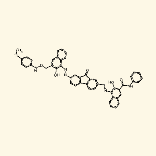 COc1ccc(NOCc2cc3ccccc3c(N=Nc3ccc4c(c3)C(=O)c3cc(N=Nc5c(O)c(C(=O)Nc6ccccc6)cc6ccccc56)ccc3-4)c2O)cc1